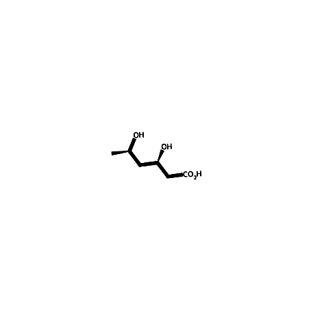 C[C@@H](O)C[C@@H](O)CC(=O)O